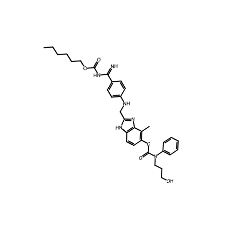 CCCCCCOC(=O)NC(=N)c1ccc(NCc2nc3c(C)c(OC(=O)N(CCCO)c4ccccc4)ccc3[nH]2)cc1